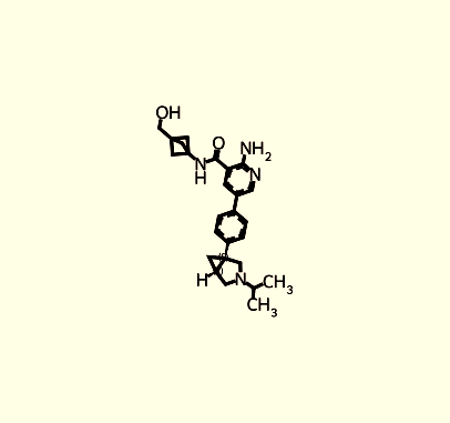 CC(C)N1C[C@@H]2C[C@]2(c2ccc(-c3cnc(N)c(C(=O)NC45CC(CO)(C4)C5)c3)cc2)C1